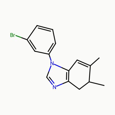 CC1=Cc2c(ncn2-c2cccc(Br)c2)CC1C